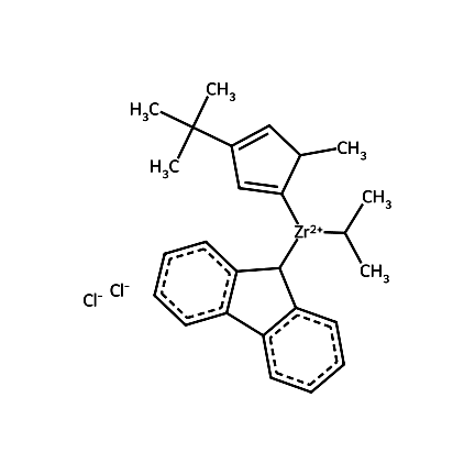 CC1C=C(C(C)(C)C)C=[C]1[Zr+2]([CH](C)C)[CH]1c2ccccc2-c2ccccc21.[Cl-].[Cl-]